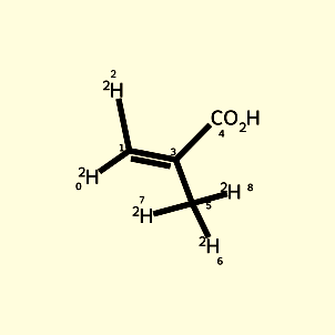 [2H]C([2H])=C(C(=O)O)C([2H])([2H])[2H]